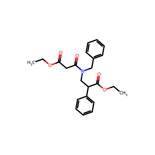 CCOC(=O)CC(=O)N(Cc1ccccc1)CC(C(=O)OCC)c1ccccc1